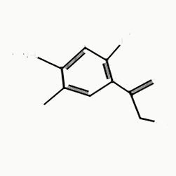 CC(=O)Nc1cc(F)c(C(=O)CCl)cc1C